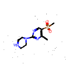 Cc1nc(N2CCNCC2)ncc1S(C)(=O)=O